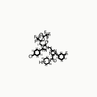 O=C(c1nc(Cn2nc(-c3ccc(Cl)cc3)n(C[C@H](OC(=O)C(F)(F)F)C(F)(F)F)c2=O)nn1-c1cccc(F)c1)N1CCNCC1